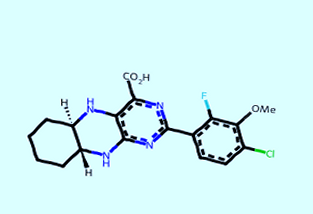 COc1c(Cl)ccc(-c2nc3c(c(C(=O)O)n2)N[C@@H]2CCCC[C@H]2N3)c1F